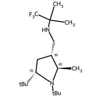 C[C@@H]1[C@@H](CNC(C)(C)C(F)(F)F)C[C@@H](C(C)(C)C)N1C(C)(C)C